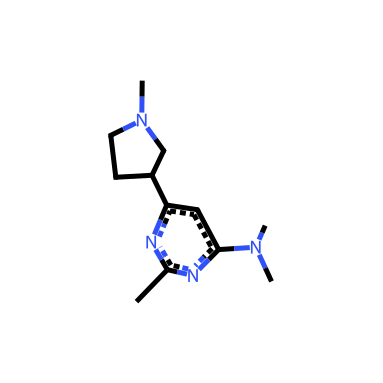 Cc1nc(C2CCN(C)C2)cc(N(C)C)n1